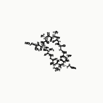 CC[C@H](C)[C@H](N)C(=O)NCC(=O)N[C@@H](CC(C)C)C(=O)N[C@@H](CCSC)C(=O)N[C@H](C(=O)NCC(=O)NCC(=O)N[C@H](C(=O)N[C@H](C(=O)N[C@H](C(=O)N[C@@H](C)C(=O)O)[C@@H](C)CC)C(C)C)C(C)C)C(C)C